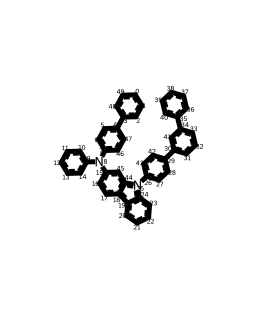 c1ccc(-c2ccc(N(c3ccccc3)c3ccc4c5ccccc5n(-c5ccc(-c6cccc(-c7ccccc7)c6)cc5)c4c3)cc2)cc1